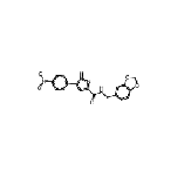 O=C(NCc1ccc2c(c1)OCO2)c1cc(-c2ccc([N+](=O)[O-])cc2)[nH]n1